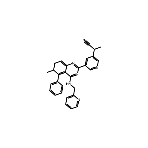 CC1CC=c2nc(-c3cncc(C(C)C#N)c3)nc(NCc3ccccn3)c2=C1c1ccccc1